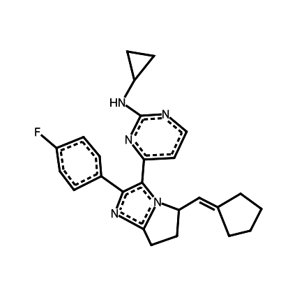 Fc1ccc(-c2nc3n(c2-c2ccnc(NC4CC4)n2)C(C=C2CCCC2)CC3)cc1